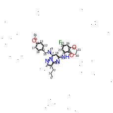 CCCc1cnn2c(N(C)Cc3ccc(OC)cc3)cc(Nc3cc(F)cc4c3OCCO4)nc12